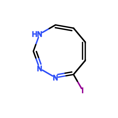 Ic1cccc[nH]cnn1